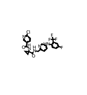 O=C(NC1(C(=O)NCc2ccc(Nc3ccc(F)cc3C(F)(F)F)cn2)CC1)c1ccc(Cl)nc1